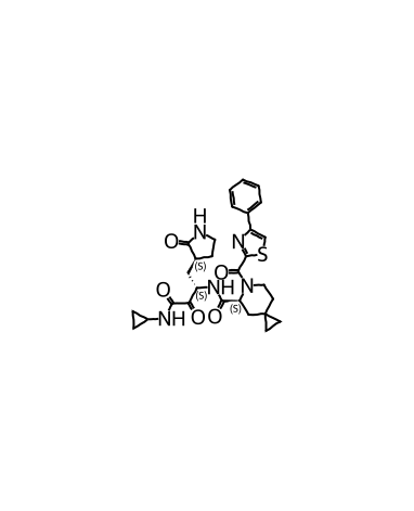 O=C(NC1CC1)C(=O)[C@H](C[C@@H]1CCNC1=O)NC(=O)[C@@H]1CC2(CCN1C(=O)c1nc(-c3ccccc3)cs1)CC2